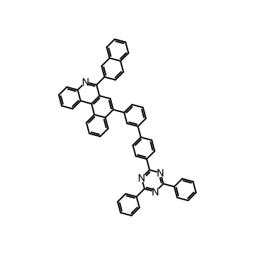 c1ccc(-c2nc(-c3ccccc3)nc(-c3ccc(-c4cccc(-c5cc6c(-c7ccc8ccccc8c7)nc7ccccc7c6c6ccccc56)c4)cc3)n2)cc1